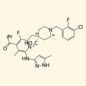 Cc1cc(Nc2nc(C[C@@]3(C(=O)O)CCN(Cc4cccc(Cl)c4F)[C@H](C)C3)c(F)c(C(=O)C(C)C)c2C)n[nH]1